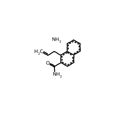 C=CCc1c(C(N)=O)ccc2ccccc12.N